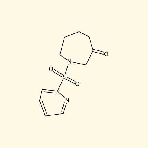 O=C1CCCCN(S(=O)(=O)c2ccccn2)C1